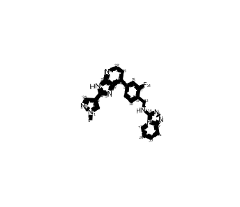 Cn1cc(-c2nc3c(-c4ccc(CNc5nnc6ccccn56)c(F)c4)ccnc3[nH]2)cn1